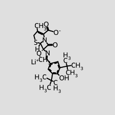 CO[C@@]1(N=Cc2cc(C(C)(C)C)c(O)c(C(C)(C)C)c2)C(=O)N2C(C(=O)[O-])=C(C)CS[C@H]21.[Li+]